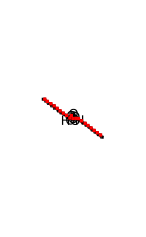 CCCCCCCCCCCCCCCCCC(O)OS(=O)(=O)OC(O)CCCCCCCCCCCCCCCCC